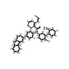 C=C(C1=C(/C=C\C)C=CCC1)N(c1ccc(-c2ccc3sc4ccccc4c3c2)cc1)c1ccc(C)c(-c2ccccc2CC)c1